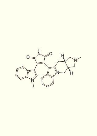 CN1C[C@H]2Cc3c(C4=C(c5cn(C)c6ccccc56)C(=O)NC4=O)c4ccccc4n3C[C@H]2C1